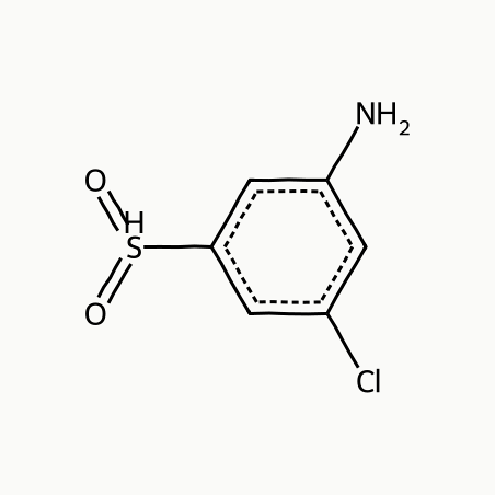 Nc1cc(Cl)cc([SH](=O)=O)c1